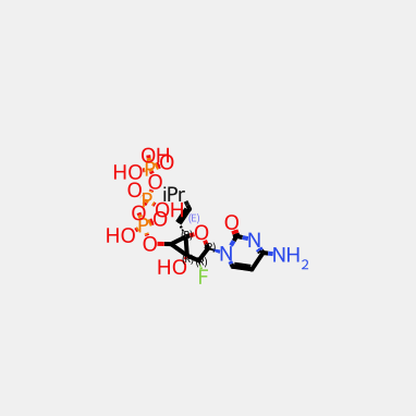 CC(C)/C=C/[C@]12O[C@@H](n3ccc(N)nc3=O)[C@H](F)[C@@]1(O)C2OP(=O)(O)OP(=O)(O)OP(=O)(O)O